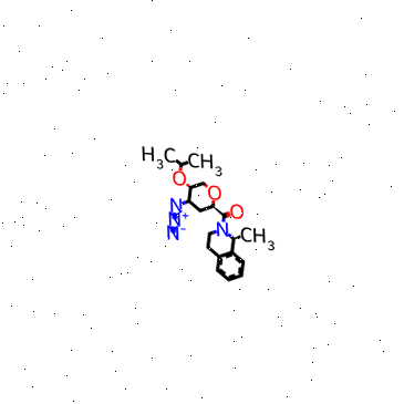 CC(C)O[C@H]1CO[C@@H](C(=O)N2CCc3ccccc3[C@@H]2C)CC1N=[N+]=[N-]